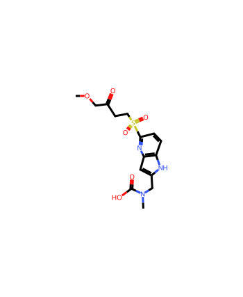 COCC(=O)CCS(=O)(=O)c1ccc2[nH]c(CN(C)C(=O)O)cc2n1